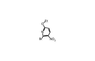 CCOc1ccc([N+](=O)[O-])c(Br)n1